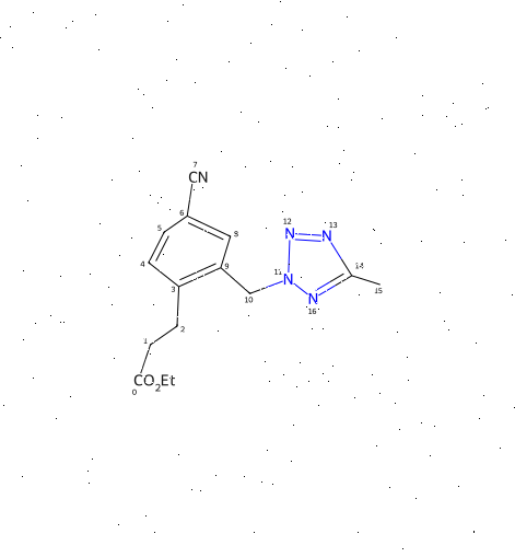 CCOC(=O)CCc1ccc(C#N)cc1Cn1nnc(C)n1